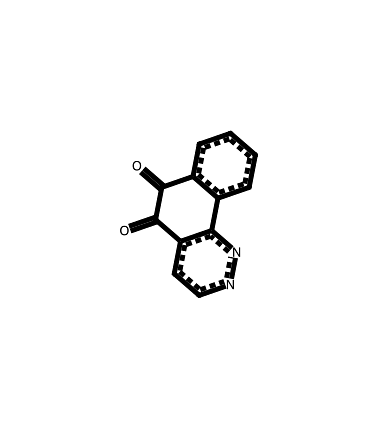 O=C1C(=O)c2ccnnc2-c2ccccc21